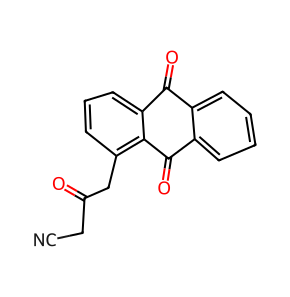 N#CCC(=O)Cc1cccc2c1C(=O)c1ccccc1C2=O